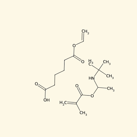 C=C(C)C(=O)OC(C)NC(C)(C)C.C=COC(=O)CCCCC(=O)O